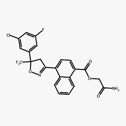 NC(=O)COC(=O)c1ccc(C2=NOC(c3cc(F)cc(Cl)c3)(C(F)(F)F)C2)c2ccccc12